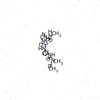 CCNC(=O)/C(C#N)=c1\s/c(=C/Nc2cccc(NC(=O)CN(C)CCOC)n2)c(=O)n1CC